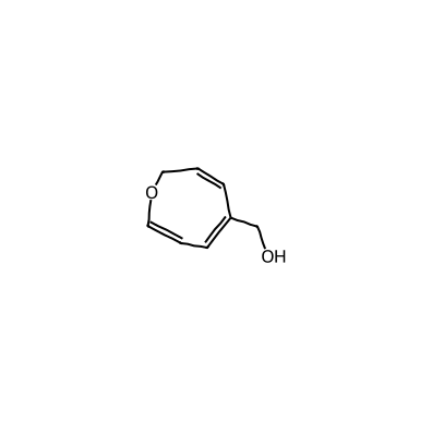 OCC1=CC=COCC=C1